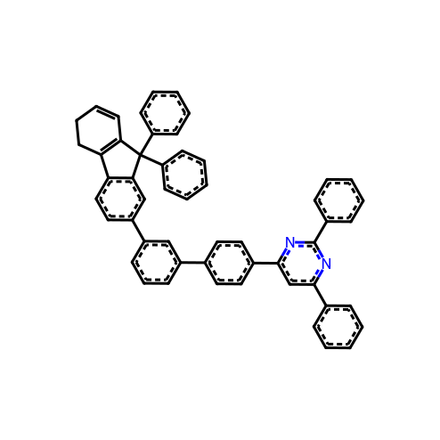 C1=CC2=C(CC1)c1ccc(-c3cccc(-c4ccc(-c5cc(-c6ccccc6)nc(-c6ccccc6)n5)cc4)c3)cc1C2(c1ccccc1)c1ccccc1